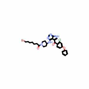 O=C(c1ccc(Oc2ccccc2)cc1Cl)c1c[nH]c2ncnc(NC3CCN(C(=O)CCCCCCBr)CC3)c12